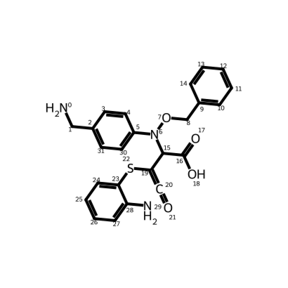 NCc1ccc(N(OCc2ccccc2)C(C(=O)O)C(=C=O)Sc2ccccc2N)cc1